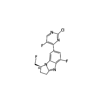 FC[C@@H]1CCc2nc3c(F)cc(-c4nc(Cl)ncc4F)cc3n21